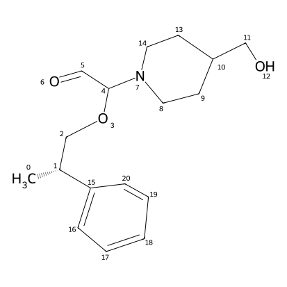 C[C@H](COC(C=O)N1CCC(CO)CC1)c1ccccc1